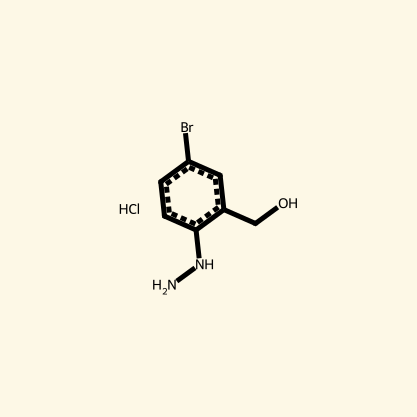 Cl.NNc1ccc(Br)cc1CO